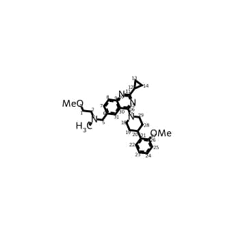 COCCN(C)Cc1ccc2nc(C3CC3)nc(N3CCC(c4ccccc4OC)CC3)c2c1